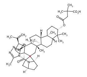 C=C(C)[C@@H]1CC[C@]2(C(=O)N3[C@@H]4CC[C@H]3C[C@H](n3c(C)nnc3C(C)C)C4)CC[C@]3(C)[C@H](CC[C@@H]4[C@@]5(C)CC[C@H](OC(=O)CC(C)(C)C(=O)O)C(C)(C)[C@@H]5CC[C@]43C)[C@@H]12